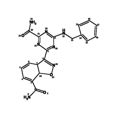 NC(=O)C1=CC=CC2C(c3nc(NCc4ccccc4)nc(C(N)=O)n3)=NOC12